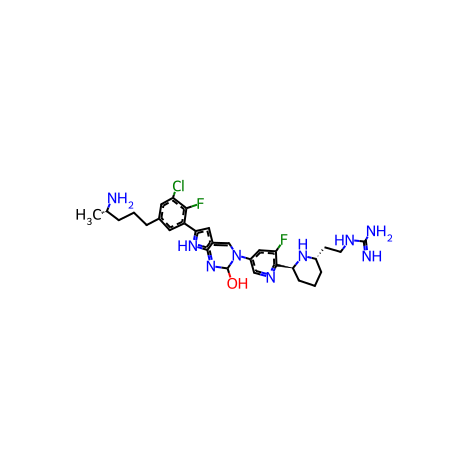 C[C@H](N)CCCc1cc(Cl)c(F)c(-c2cc3c([nH]2)=NC(O)N(c2cnc([C@@H]4CCC[C@@H](CCNC(=N)N)N4)c(F)c2)C=3)c1